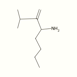 C=C(C(C)C)C(N)CCCC